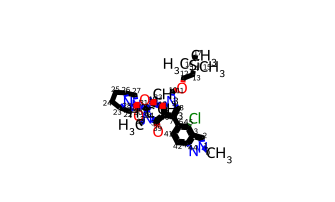 Cn1cc2c(Cl)c(-c3cn(COCC[Si](C)(C)C)c4nc(N5CC6CCC(C5)N6C(=O)OC(C)(C)C)n(C)c(=O)c34)ccc2n1